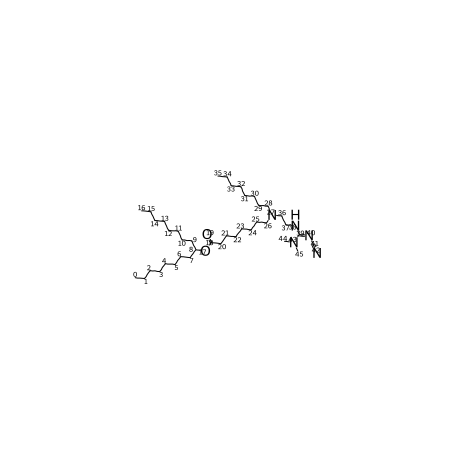 CCCCCCCCC(CCCCCCCC)OC(=O)CCCCCCCN(CCCCCCCC)CCN/C(=N/C#N)N(C)C